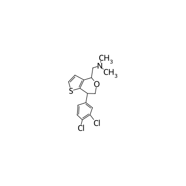 CN(C)CC1OCC(c2ccc(Cl)c(Cl)c2)c2sccc21